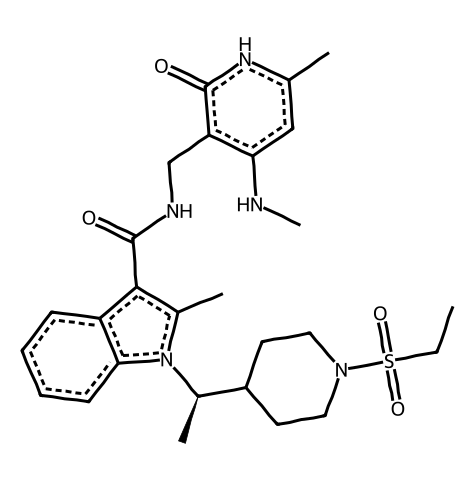 CCS(=O)(=O)N1CCC([C@@H](C)n2c(C)c(C(=O)NCc3c(NC)cc(C)[nH]c3=O)c3ccccc32)CC1